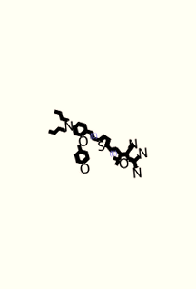 CCCCN(CCCC)c1ccc(/C=C/c2ccc(/C=C/C3=C(C#N)C(=C(C#N)C#N)OC3(C)C)s2)c(OCc2ccc(OC)cc2)c1